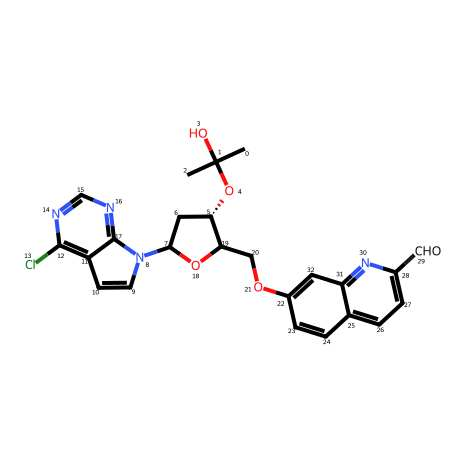 CC(C)(O)O[C@H]1CC(n2ccc3c(Cl)ncnc32)OC1COc1ccc2ccc(C=O)nc2c1